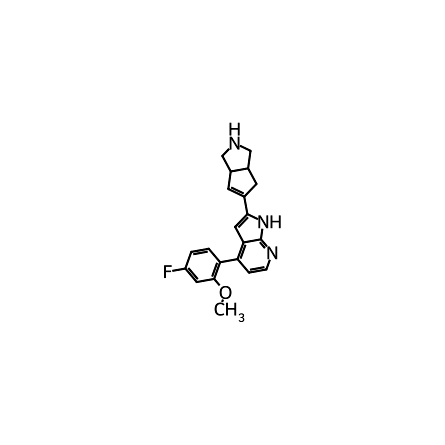 COc1cc(F)ccc1-c1ccnc2[nH]c(C3=CC4CNCC4C3)cc12